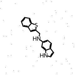 c1ccc2sc(CNc3ccc4cc[nH]c4c3)cc2c1